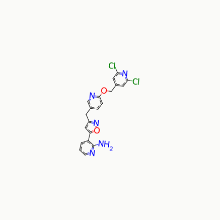 Nc1ncccc1-c1cc(Cc2ccc(OCc3cc(Cl)nc(Cl)c3)nc2)no1